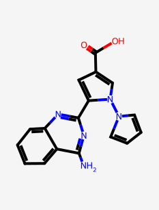 Nc1nc(-c2cc(C(=O)O)cn2-n2cccc2)nc2ccccc12